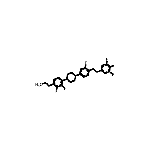 CCCc1ccc(C2CCC(c3ccc(CCc4cc(F)c(F)c(F)c4)c(F)c3)CC2)c(F)c1F